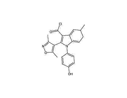 Cc1noc(C)c1-c1c(C(=O)Cl)c2c(n1-c1ccc(O)cc1)=CCC(C)C=2